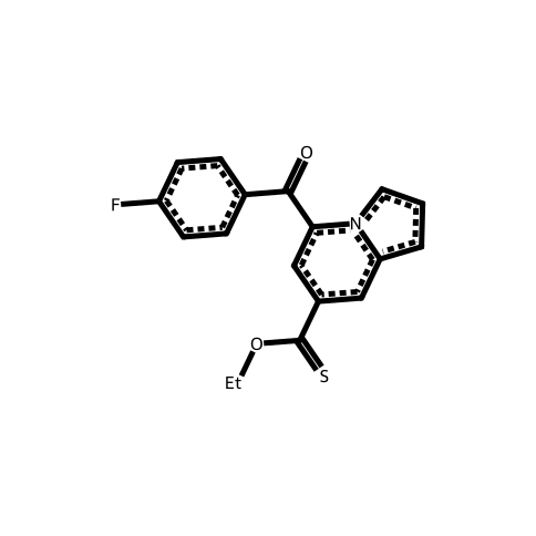 CCOC(=S)c1cc(C(=O)c2ccc(F)cc2)n2cccc2c1